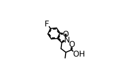 CC(Cc1noc2cc(F)ccc12)C(=O)O